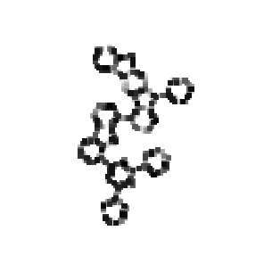 c1ccc(-c2nc(-c3ccccc3)nc(-c3cccc4c3oc3c(-c5cccc6c5c5cc7c(cc5n6-c5ccccc5)sc5ccccc57)cccc34)n2)cc1